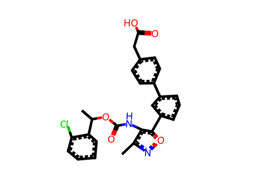 Cc1noc(-c2cccc(-c3ccc(CC(=O)O)cc3)c2)c1NC(=O)OC(C)c1ccccc1Cl